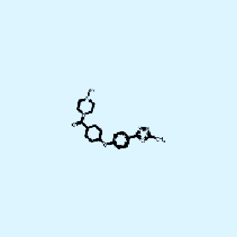 Cc1nnc(-c2ccc(OC3CCC(C(=O)N4CCN(C(C)C)CC4)CC3)cc2)o1